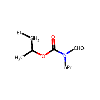 CCCN([C]=O)C(=O)OC(C)[SiH2]CC